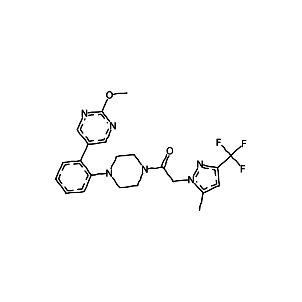 COc1ncc(-c2ccccc2N2CCN(C(=O)Cn3nc(C(F)(F)F)cc3C)CC2)cn1